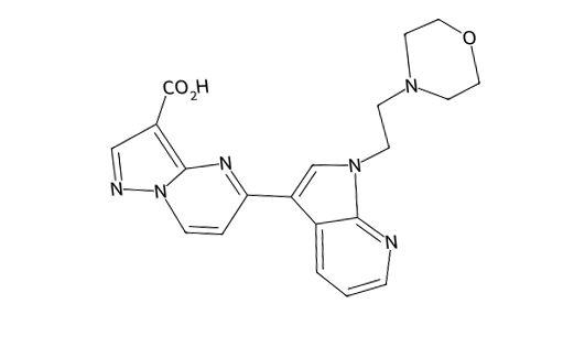 O=C(O)c1cnn2ccc(-c3cn(CCN4CCOCC4)c4ncccc34)nc12